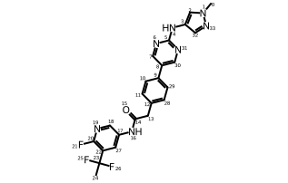 Cn1cc(Nc2ncc(-c3ccc(CC(=O)Nc4cnc(F)c(C(C)(F)F)c4)cc3)cn2)cn1